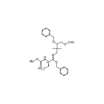 CC(C)(C)OC(=O)N[C@H](CC(=O)O)C(=NCC(C)(C)C(COC=O)OCc1ccccc1)OCc1ccccc1